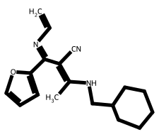 C=C/N=C(\C(C#N)=C(/C)NCC1CCCCC1)c1ccco1